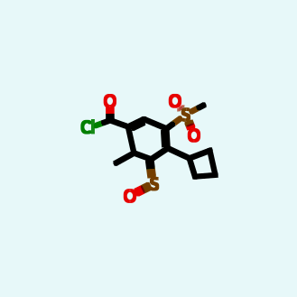 CC1C(C(=O)Cl)=CC(S(C)(=O)=O)=C(C2CCC2)C1=S=O